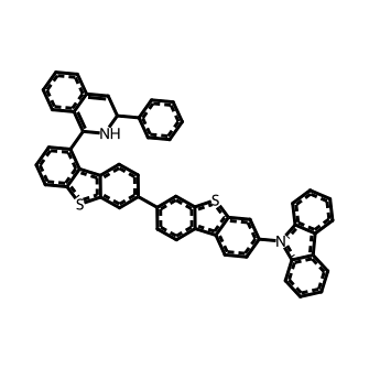 C1=c2ccccc2=C(c2cccc3sc4cc(-c5ccc6c(c5)sc5cc(-n7c8ccccc8c8ccccc87)ccc56)ccc4c23)NC1c1ccccc1